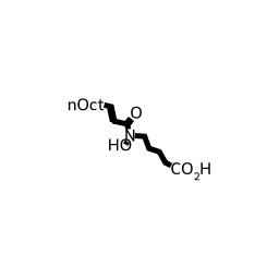 CCCCCCCC/C=C/C(=O)N(O)CCCCC(=O)O